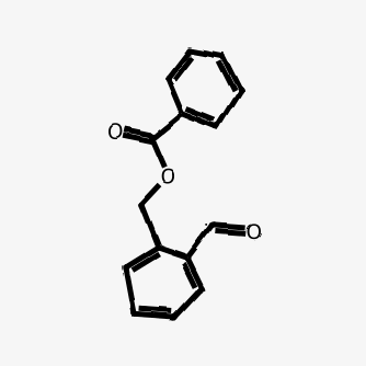 O=[C]c1ccccc1COC(=O)c1ccccc1